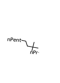 CC[CH]C(C)(C)CCCCCCC